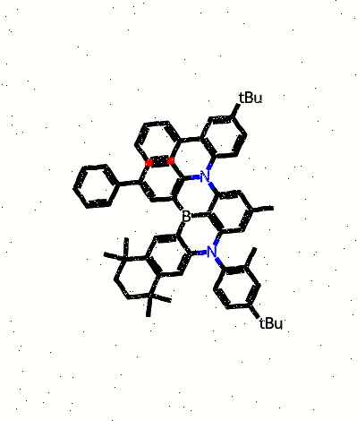 Cc1cc2c3c(c1)N(c1ccc(C(C)(C)C)cc1-c1ccccc1)c1ccc(-c4ccccc4)cc1B3c1cc3c(cc1N2c1ccc(C(C)(C)C)cc1C)C(C)(C)CCC3(C)C